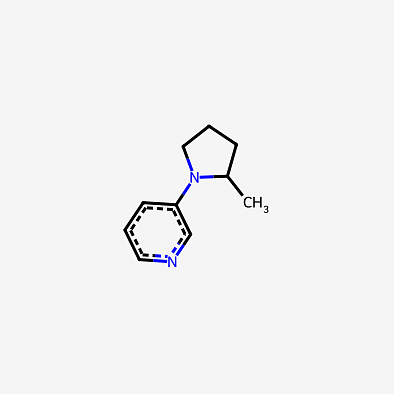 CC1CCCN1c1cccnc1